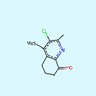 CSc1c(Cl)c(C)nc2c1CCCC2=O